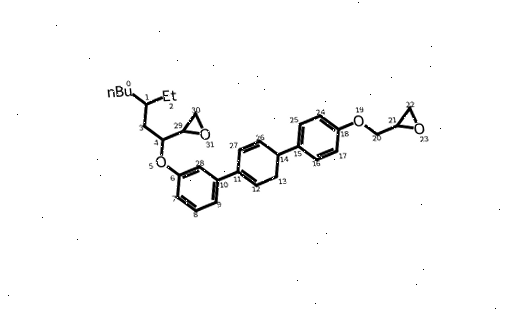 CCCCC(CC)CC(Oc1cccc(C2=CCC(c3ccc(OCC4CO4)cc3)C=C2)c1)C1CO1